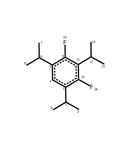 CC(C)c1cc(C(C)C)c(F)c(C(C)C)c1F